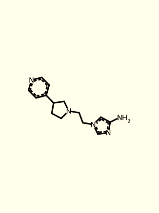 Nc1cn(CCN2CCC(c3ccncc3)C2)cn1